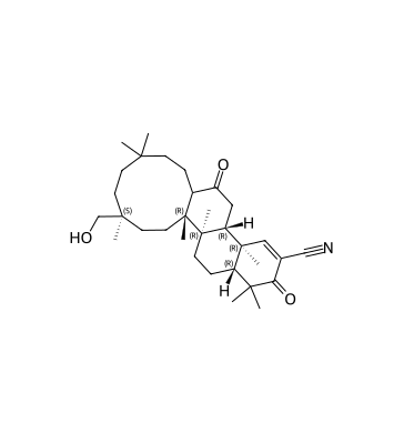 CC1(C)CCC2C(=O)C[C@@H]3[C@@]4(C)C=C(C#N)C(=O)C(C)(C)[C@@H]4CC[C@@]3(C)[C@]2(C)CC[C@@](C)(CO)CC1